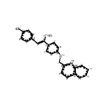 O=CC(=Cc1ccc(Cl)cc1)c1ccc(OCc2ccc3ccccc3n2)cc1